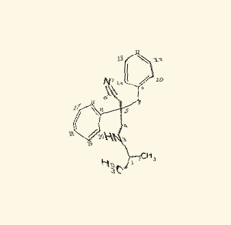 CC(C)NCC(C#N)(Cc1ccccc1)c1ccccc1